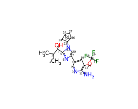 CC(C)C(O)c1nc(-c2cnc(N)c(OC(F)(F)F)c2)cn1C1CC2CC1C2